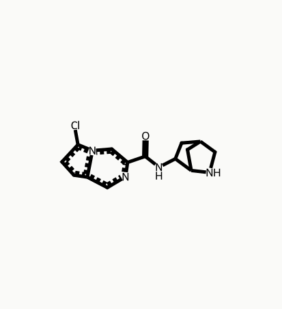 O=C(NC1CC2CNC1C2)c1cn2c(Cl)ccc2cn1